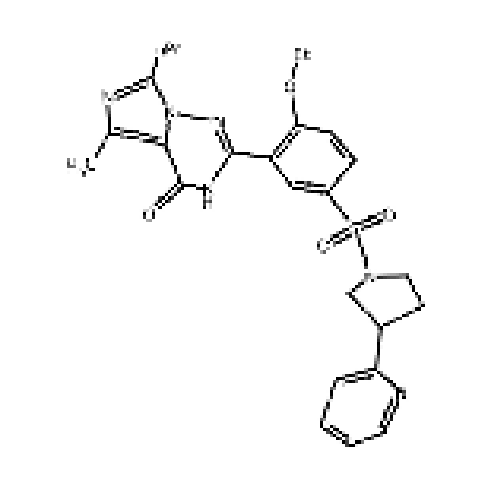 CCCc1nc(C)c2c(=O)[nH]c(-c3cc(S(=O)(=O)N4CCC(c5ccccn5)C4)ccc3OCC)nn12